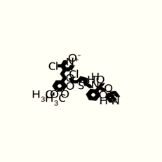 COc1ccc(C(Cc2c(Cl)c[n+]([O-])cc2Cl)OC(=O)c2ccc(CNC(CO)(C(=O)O[C@H]3CN4CCC3CC4)c3ccccc3)s2)cc1OC